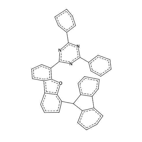 c1ccc(-c2nc(-c3ccccc3)nc(-c3cccc4c3oc3c(C5c6ccccc6-c6ccccc65)cccc34)n2)cc1